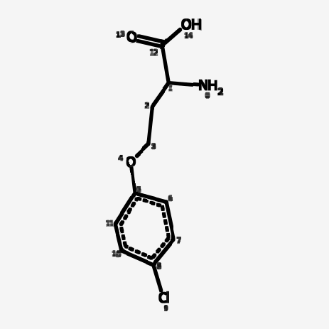 NC(CCOc1ccc(Cl)cc1)C(=O)O